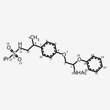 CC(=O)NC(COc1ccc(C(C)CNS(=O)(=O)C(C)C)cc1)Oc1ccccc1